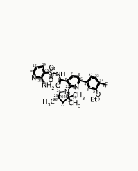 CCOc1cc(-c2ccc(C(=O)NS(=O)(=O)c3cccnc3N)c(N3C[C@@H](C)CC3(C)C)n2)ccc1F